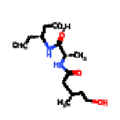 C[C@@H](CCO)CC(=O)N[C@@H](C)C(=O)N[C@H](CC=O)CC(=O)O